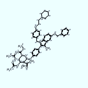 COC(=O)[C@H]1O[C@@H](Oc2ccc(-c3c(C)c4cc(OCc5ccccc5)ccc4n3Cc3ccc(OCCN4CCCCC4)cc3)cc2)[C@@](O)(C(C)=O)[C@@H](OC(C)=O)[C@@H]1OC(C)=O